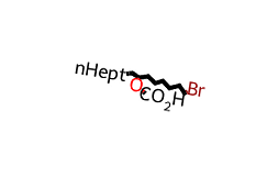 CCCCCCCCC(CCCCCCBr)OC(=O)O